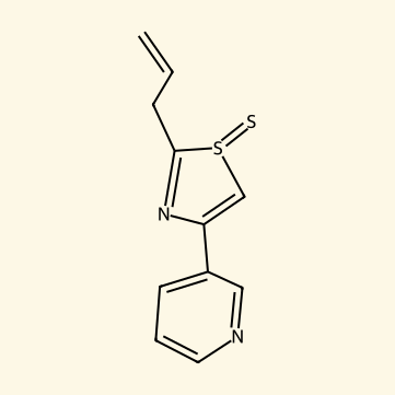 C=CCC1=NC(c2cccnc2)=CS1=S